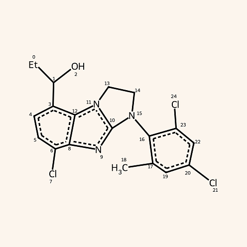 CCC(O)c1ccc(Cl)c2nc3n(c12)CCN3c1c(C)cc(Cl)cc1Cl